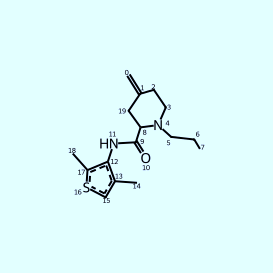 C=C1CCN(CCC)C(C(=O)Nc2c(C)csc2C)C1